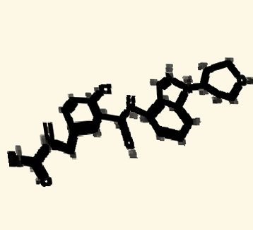 CC(C)(C)C(=O)NCc1ccc(Cl)c(C(=O)Nc2cccc3c2cnn3C2CCOCC2)c1